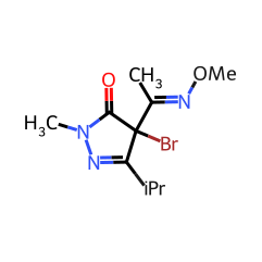 CO/N=C(\C)C1(Br)C(=O)N(C)N=C1C(C)C